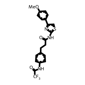 COc1ccc(-c2csc(NC(=O)CCc3ccc(NC(=O)C(F)(F)F)cc3)n2)cc1